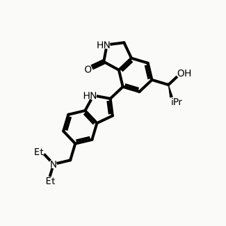 CCN(CC)Cc1ccc2[nH]c(-c3cc([C@@H](O)C(C)C)cc4c3C(=O)NC4)cc2c1